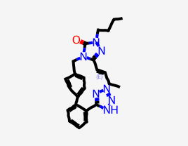 CC/C=C/c1nn(CCCC)c(=O)n1Cc1ccc(-c2ccccc2-c2nnn[nH]2)cc1